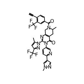 C#Cc1ccc(C(=O)N2Cc3nc(-n4nc(C(F)(F)F)cc4C)n(-c4ccc(-c5cnn(C)c5)nc4)c(=O)c3CC2C)cc1C(F)(F)F